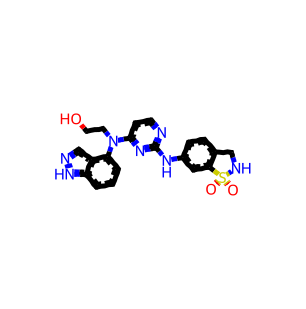 O=S1(=O)NCc2ccc(Nc3nccc(N(CCO)c4cccc5[nH]ncc45)n3)cc21